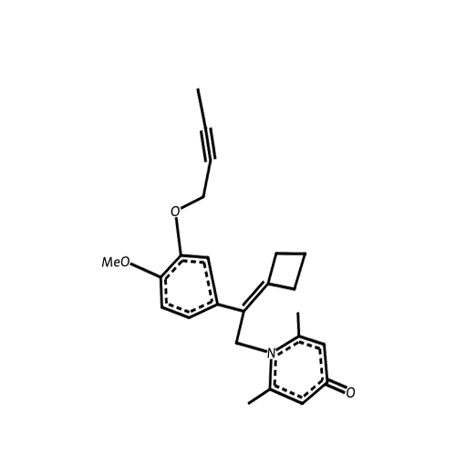 CC#CCOc1cc(C(Cn2c(C)cc(=O)cc2C)=C2CCC2)ccc1OC